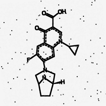 CN1C2CC[C@H]1CN(c1cc3c(cc1F)c(=O)c(C(=O)O)cn3C1CC1)C2